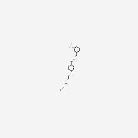 CN(C)c1cccc(C=NNC(=O)c2ccc(NCCCC(=O)NCCO)cc2)c1